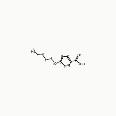 O=C(O)c1ccc(OCCCCS)cc1